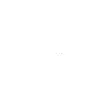 CNC1=C(c2ccccc2)C(=O)CCC1